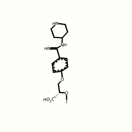 N=C(NC1CCNCC1)c1ccc(OC[C@H](OI)C(=O)O)cc1